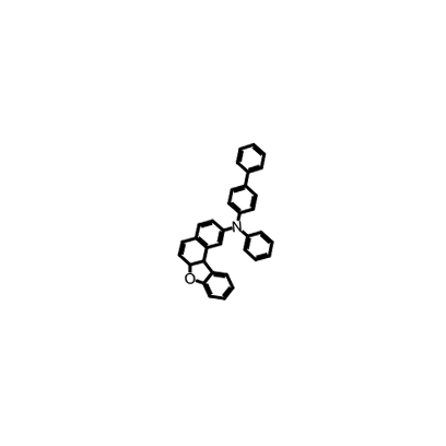 C1=CC2Oc3ccccc3C2c2cc(N(c3ccccc3)c3ccc(-c4ccccc4)cc3)ccc21